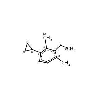 CCc1c(C)ccc(C2CC2)c1C